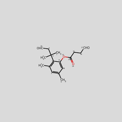 Cc1cc(C)c(C(C)(C)CC=O)c(OC(=O)CCC=O)c1